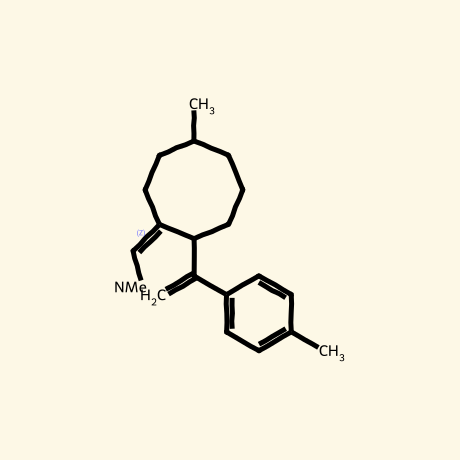 C=C(c1ccc(C)cc1)C1CCCC(C)CC/C1=C/NC